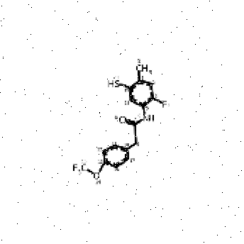 Cc1cc(F)c(NC(=O)Cc2ccc(OC(F)(F)F)cc2)cc1S